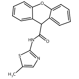 Cc1cnc(NC(=O)C2c3ccccc3Oc3ccccc32)s1